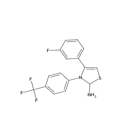 NC1SC=C(c2cccc(F)c2)N1c1ccc(C(F)(F)F)cc1